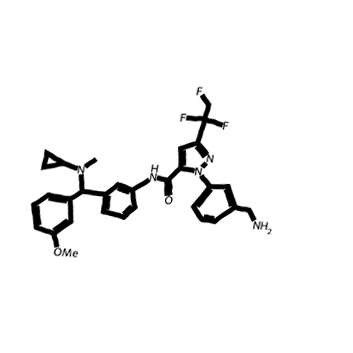 COc1cccc(C(c2cccc(NC(=O)c3cc(C(F)(F)CF)nn3-c3cccc(CN)c3)c2)N(C)C2CC2)c1